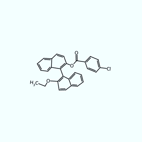 CCOc1ccc2ccccc2c1-c1c(OC(=O)c2ccc(Cl)cc2)ccc2ccccc12